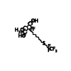 C[C@]12CCC3c4ccc(O)cc4[C@H](F)[C@@H](CCCCCCCCCSCCCC(F)(F)C(F)(F)F)C3C1C[C@@H](O)C21CC1